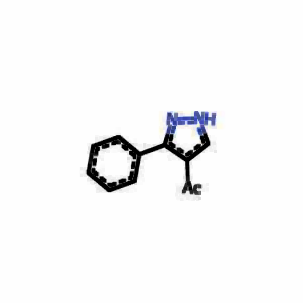 CC(=O)c1c[nH]nc1-c1ccccc1